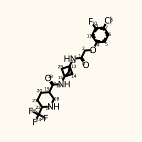 O=C(COc1ccc(Cl)c(F)c1)NC12CC(NC(=O)C3CCC(C(F)(F)F)NC3)(C1)C2